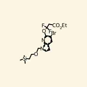 CCOC(=O)CC(F)(F)Oc1nc2c(ccn2COCC[Si](C)(C)C)cc1Br